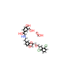 O=CO.OCc1cc([C@@H](O)CNCCc2ccc3c(c2)O[C@H](COCCCc2c(Cl)cccc2Cl)CO3)ccc1O